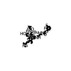 C=C/C(=C\C=C\c1scnc1C)[C@H](CC(O)NCCCCNC(=O)COc1cccc(F)c1F)NC(=O)[C@@H]1C[C@@H](O)CN1C(=O)[C@@H](NC(=O)C1(F)CC1)C(C)(C)C